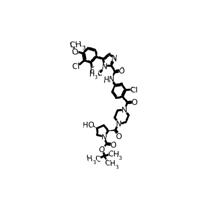 COc1ccc(-c2cnc(C(=O)Nc3ccc(C(=O)N4CCN(C(=O)[C@@H]5C[C@@H](O)CN5C(=O)OC(C)(C)C)CC4)c(Cl)c3)n2C)c(F)c1Cl